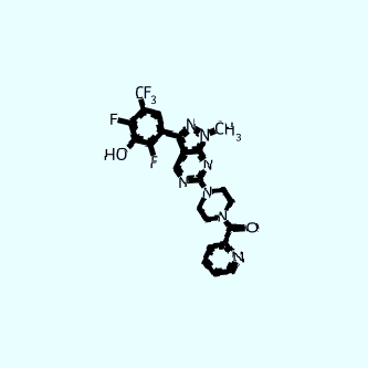 Cn1nc(-c2cc(C(F)(F)F)c(F)c(O)c2F)c2cnc(N3CCN(C(=O)c4ccccn4)CC3)nc21